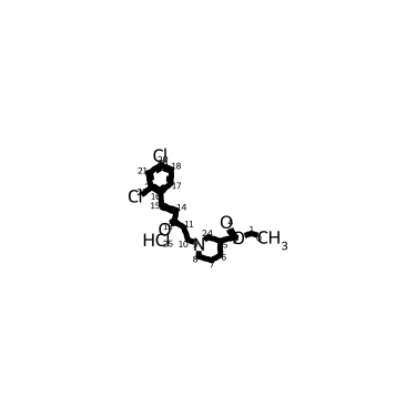 CCOC(=O)C1CCCN(CCC(=O)C=Cc2ccc(Cl)cc2Cl)C1.Cl